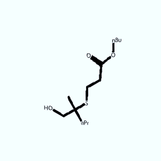 CCCCOC(=O)CCSC(C)(CO)CCC